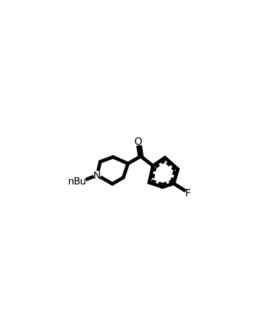 CCCCN1CCC(C(=O)c2ccc(F)cc2)CC1